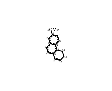 COc1ccc2c3c(ccc2c1)C=CCC3